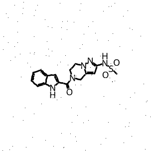 CS(=O)(=O)Nc1cc2n(n1)CCN(C(=O)c1cc3ccccc3[nH]1)C2